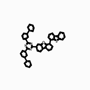 c1ccc(-c2cccc(-c3nc(-c4cccc(-c5ccccc5)c4)nc(-c4ccc5c(c4)oc4c(-c6cccc7c6sc6ccccc67)cccc45)n3)c2)cc1